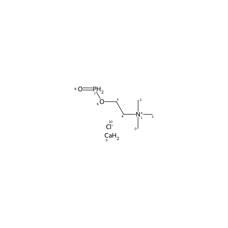 C[N+](C)(C)CCO[PH2]=O.[CaH2].[Cl-]